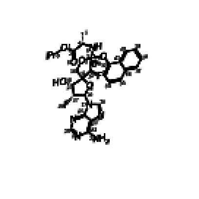 CC(C)OC(=O)[C@H](C)NP(=O)(OC[C@@]1(C(F)F)O[C@@H](n2cnc3c(N)ncnc32)[C@H](F)[C@@H]1O)Oc1cccc2ccccc12